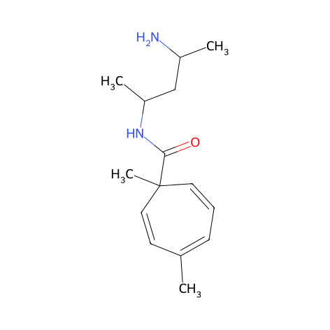 CC1=CC=CC(C)(C(=O)NC(C)CC(C)N)C=C1